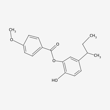 CCC(C)c1ccc(O)c(OC(=O)c2ccc(OC)cc2)c1